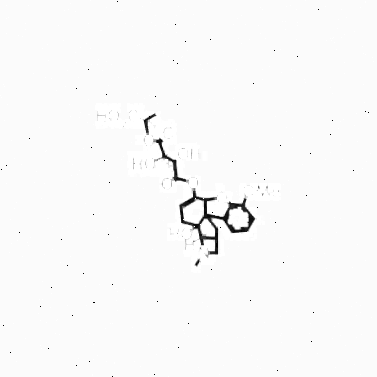 COc1cccc2c1OC1C(OC(=O)[C@H](O)[C@@H](O)C(=O)O[C@@H](C)C(=O)O)=CC[C@@]3(O)[C@H]4C(CN4C)CC213